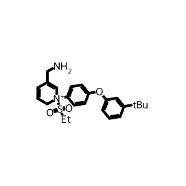 CCS(=O)(=O)[N+]1(c2ccc(Oc3cccc(C(C)(C)C)c3)cc2)C=C(CN)C=CC1